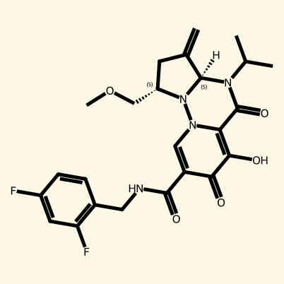 C=C1C[C@@H](COC)N2[C@@H]1N(C(C)C)C(=O)c1c(O)c(=O)c(C(=O)NCc3ccc(F)cc3F)cn12